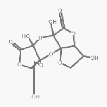 O=C1OC2C(O)COC23OC24OCC(O)C2OC(=O)C4(O)OC13O